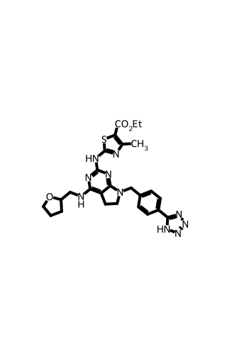 CCOC(=O)c1sc(Nc2nc(NCC3CCCO3)c3c(n2)N(Cc2ccc(-c4nnn[nH]4)cc2)CC3)nc1C